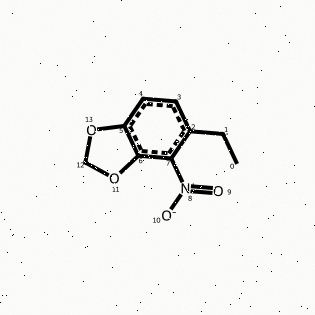 C[CH]c1ccc2c(c1[N+](=O)[O-])OCO2